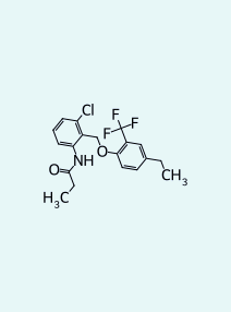 CCC(=O)Nc1cccc(Cl)c1COc1ccc(CC)cc1C(F)(F)F